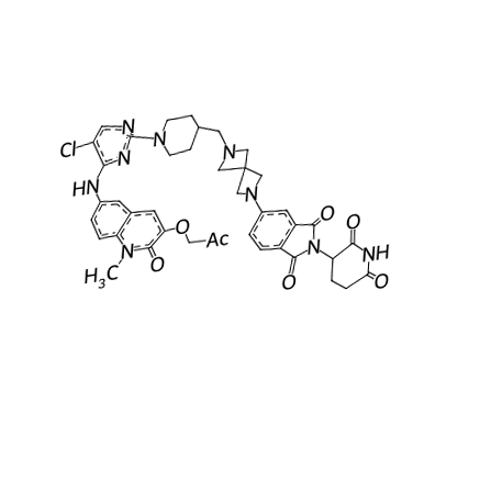 CC(=O)COc1cc2cc(Nc3nc(N4CCC(CN5CC6(C5)CN(c5ccc7c(c5)C(=O)N(C5CCC(=O)NC5=O)C7=O)C6)CC4)ncc3Cl)ccc2n(C)c1=O